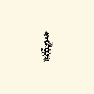 COc1cc(-c2cnc3cc(OCC4CCO4)ccn23)cc2c1C(=O)N(CC(F)(F)F)CC2